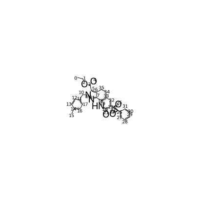 CCOC(=O)c1c2c(nn1Cc1ccc(C)cc1)-c1[nH]c(=O)c(S(=O)(=O)c3ccccc3)cc1CC2